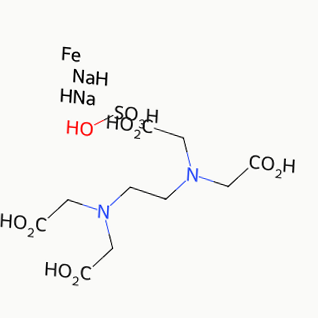 O=C(O)CN(CCN(CC(=O)O)CC(=O)O)CC(=O)O.O=S(=O)(O)O.[Fe].[NaH].[NaH]